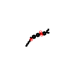 CCCCCCCOC(C)c1ccc(-c2ccc(C(=O)Oc3ccc(C(CC)CCC)cc3)cc2)cc1